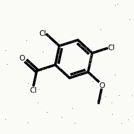 COc1cc(C(=O)Cl)c(Cl)cc1Cl